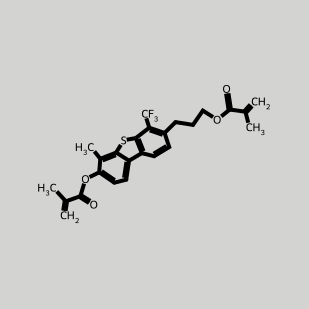 C=C(C)C(=O)OCCCc1ccc2c(sc3c(C)c(OC(=O)C(=C)C)ccc32)c1C(F)(F)F